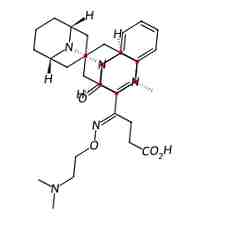 C[C@@H]1C[C@@H]2C[C@H](C1)C[C@@H](N1[C@@H]3CCC[C@H]1C[C@@H](n1c(=O)c(/C(CCC(=O)O)=N/OCCN(C)C)nc4ccccc41)C3)C2